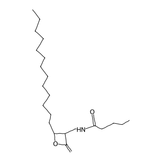 C=C1OC(CCCCCCCCCCCCC)C1CNC(=O)CCCC